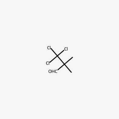 CC(C)(C=O)C(Cl)(Cl)Cl